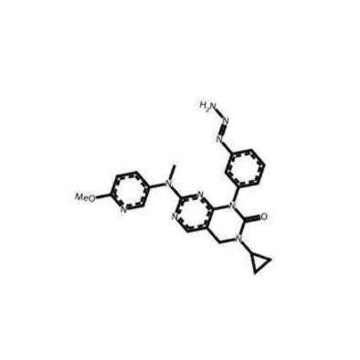 COc1ccc(N(C)c2ncc3c(n2)N(c2cccc(N=NN)c2)C(=O)N(C2CC2)C3)cn1